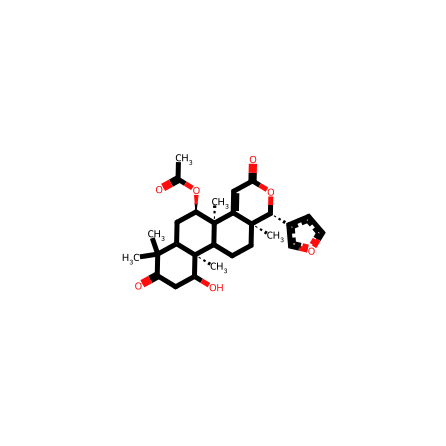 CC(=O)O[C@@H]1CC2C(C)(C)C(=O)CC(O)[C@]2(C)C2CC[C@@]3(C)C(=CC(=O)O[C@@H]3c3ccoc3)[C@@]21C